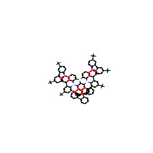 CC(C)(C)c1cc(-c2ccccc2)c(N2c3cc(-n4c5ccc(C(C)(C)C)cc5c5cc(C(C)(C)C)ccc54)ccc3B3c4ccc(-n5c6ccc(C(C)(C)C)cc6c6cc(C(C)(C)C)ccc65)cc4N(c4c(-c5ccccc5)cc(C(C)(C)C)cc4-c4ccccc4)c4cc(C5(c6ccccc6)c6ccccc6-c6ccccc65)cc2c43)c(-c2ccccc2)c1